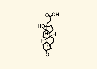 C[C@]12CCC(=O)C=C1CC[C@@H]1[C@@H]2CC[C@@]2(C)[C@H]1CC[C@@]2(O)CCC(=O)O